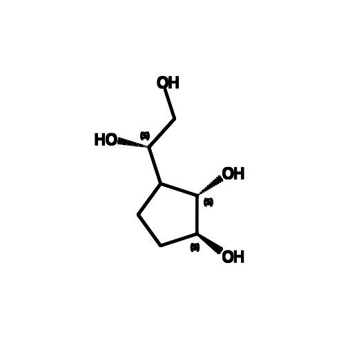 OC[C@@H](O)C1CC[C@H](O)[C@H]1O